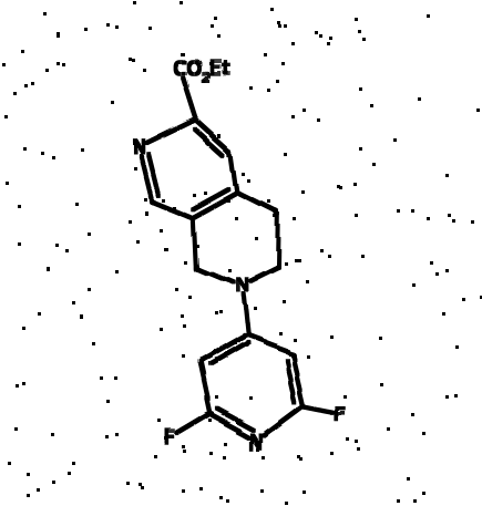 CCOC(=O)c1cc2c(cn1)CN(c1cc(F)nc(F)c1)CC2